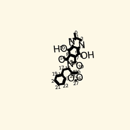 Cc1cnc2c(O)c3c(c(O)c2n1)C(=O)N(C(Cc1ccccc1)C1=COCO1)C3=O